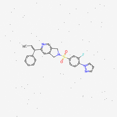 N#CC=C(c1ccccc1)c1cc2c(cn1)CN(S(=O)(=O)c1ccc(-n3cccn3)c(F)c1)C2